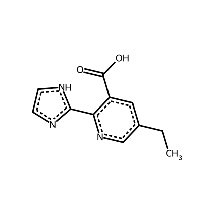 CCc1cnc(-c2ncc[nH]2)c(C(=O)O)c1